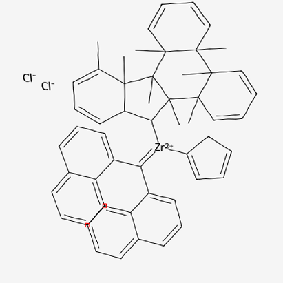 CC1=CC=CC2[CH]([Zr+2]([C]3=CC=CC3)=[C](c3cccc4ccccc34)c3cccc4ccccc34)C3(C)C4(C)C=CC=CC4(C)C4(C)C=CC=CC4(C)C3(C)C12C.[Cl-].[Cl-]